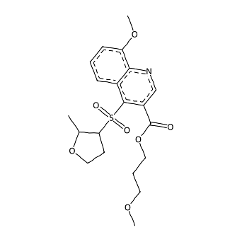 COCCCOC(=O)c1cnc2c(OC)cccc2c1S(=O)(=O)C1CCOC1C